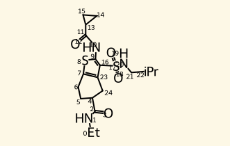 CCNC(=O)C1CCc2sc(NC(=O)C3CC3)c(S(=O)(=O)NCC(C)C)c2C1